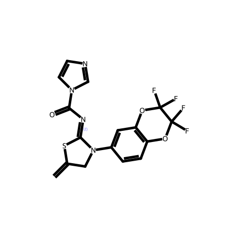 C=C1CN(c2ccc3c(c2)OC(F)(F)C(F)(F)O3)/C(=N/C(=O)n2ccnc2)S1